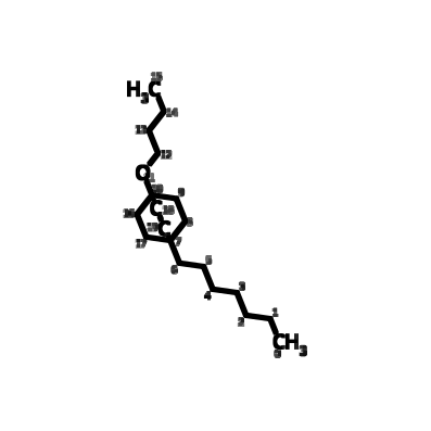 CCCCCCCC12CCC(OCCCC)(CC1)CC2